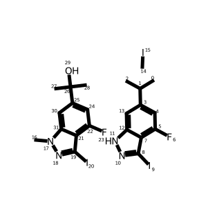 CC(C)c1cc(F)c2c(I)n[nH]c2c1.CI.Cn1nc(I)c2c(F)cc(C(C)(C)O)cc21